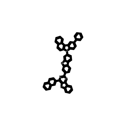 c1ccc(-c2ccc3c(c2)c2c4ccccc4ccc2n3-c2ccc3c(c2)oc2cc(-c4nc(-c5ccc6ccccc6c5)c5sc6ccccc6c5n4)ccc23)cc1